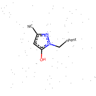 CCCCCCn1nc(C#N)cc1O